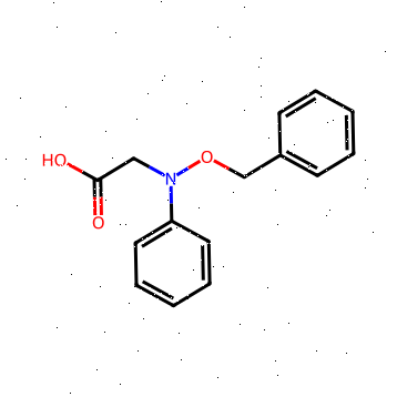 O=C(O)CN(OCc1ccccc1)c1ccccc1